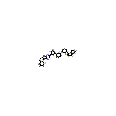 c1cc(-c2cccc(-c3cccc4c3sc3ccc5ccccc5c34)c2)cc(-c2cnc3c(n2)oc2ccc4ccccc4c23)c1